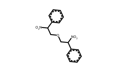 O=[N+]([O-])C(COCC(c1ccccc1)[N+](=O)[O-])c1ccccc1